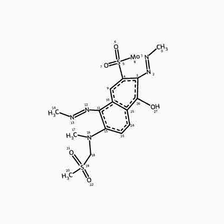 C/N=N/c1c([S](=O)(=O)[Mo])cc2c(/N=N/C)c(N(C)CS(C)(=O)=O)ccc2c1O